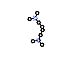 c1ccc(-c2cc(-c3ccc(-c4ccc5ccc(-c6ccc(-c7nc(-c8ccccc8)nc(-c8ccccc8)n7)cc6)cc5c4)cc3)nc(-c3ccccc3)n2)cc1